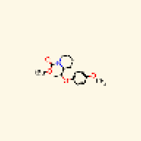 CC(Oc1ccc(OC(F)(F)F)cc1)C1CCCCN1C(=O)OC(C)(C)C